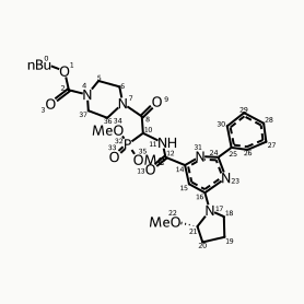 CCCCOC(=O)N1CCN(C(=O)C(NC(=O)c2cc(N3CCC[C@@H]3OC)nc(-c3ccccc3)n2)P(=O)(OC)OC)CC1